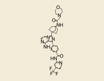 Nc1nccn2c(C34CCC(NC(=O)CN5CCOCC5)(CC3)C4)nc(-c3ccc(C(=O)Nc4cc(C(F)(F)F)ccn4)cc3)c12